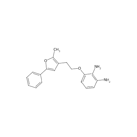 Cc1oc(-c2ccccc2)cc1CCOc1cccc(N)c1N